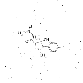 CCN(C)CC(=O)C1C=C(C)N(c2ccc(F)cc2)C1(C)C